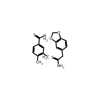 Cc1ccc(C(N)=S)cc1C.NC(=S)Cc1ccc2c(c1)OCO2